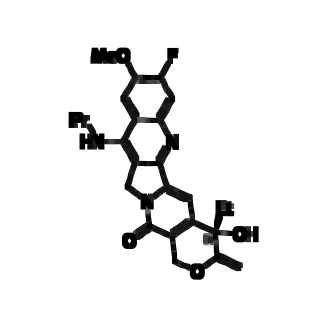 C=C1OCc2c(cc3n(c2=O)Cc2c-3nc3cc(F)c(OC)cc3c2NC(C)C)[C@@]1(O)CC